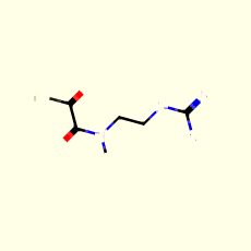 CC(C)C(=O)C(=O)N(C)CCNC(=N)N